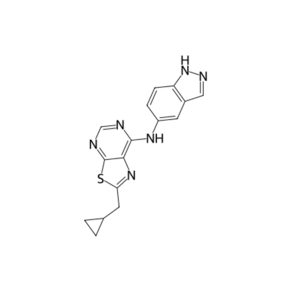 c1nc(Nc2ccc3[nH]ncc3c2)c2nc(CC3CC3)sc2n1